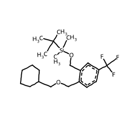 CC(C)(C)[Si](C)(C)OCc1cc(C(F)(F)F)ccc1COCC1CCCCC1